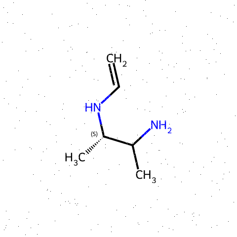 C=CN[C@@H](C)C(C)N